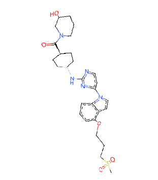 CS(=O)(=O)CCCOc1cccc2c1ccn2-c1ccnc(N[C@H]2CC[C@H](C(=O)N3CCCC(O)C3)CC2)n1